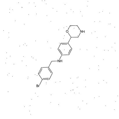 Brc1ccc(CNc2ccc(C3CNCCO3)cc2)cc1